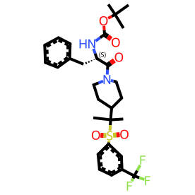 CC(C)(C)OC(=O)N[C@@H](Cc1ccccc1)C(=O)N1CCC(C(C)(C)S(=O)(=O)c2cccc(C(F)(F)F)c2)CC1